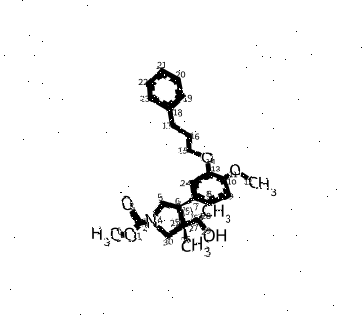 COC(=O)N1C[C@@H](c2ccc(OC)c(OCCCc3ccccc3)c2)[C@](C)([C@H](C)O)C1